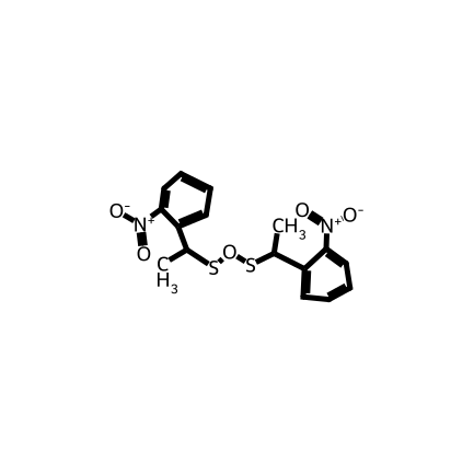 CC(SOSC(C)c1ccccc1[N+](=O)[O-])c1ccccc1[N+](=O)[O-]